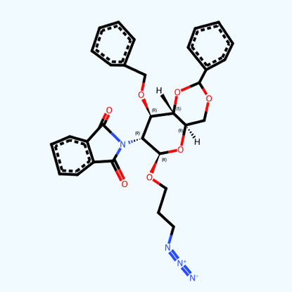 [N-]=[N+]=NCCCO[C@@H]1O[C@@H]2COC(c3ccccc3)O[C@H]2[C@H](OCc2ccccc2)[C@H]1N1C(=O)c2ccccc2C1=O